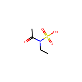 CCN(C(C)=O)S(=O)(=O)O